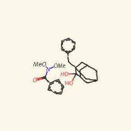 CON(OC)C(=O)c1ccccc1.OC1(O)C2CC3CC(C2)CC1(Cc1ccccc1)C3